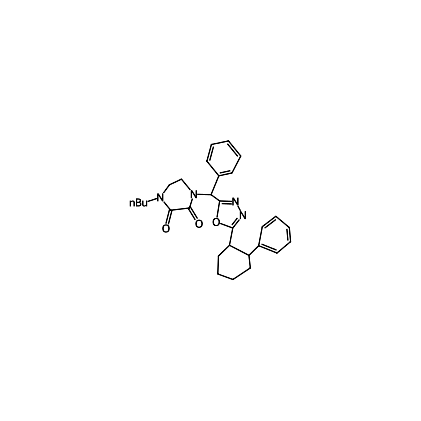 CCCCN1CCN(C(c2ccccc2)c2nnc(C3CCCCC3c3ccccc3)o2)C(=O)C1=O